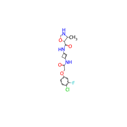 CC1NCOC1C(=O)NC12CC(NC(=O)COc3ccc(Cl)c(F)c3)(C1)C2